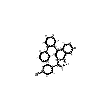 Brc1ccc(-c2nnc3c4ccccc4c(-c4ccccc4-c4ccccc4)cn23)cc1